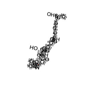 CN1c2cc(CNc3nccn3C(c3ccccc3)(c3ccccc3)c3ccccc3)ccc2C(=O)CC1C(=O)NCC(NS(=O)(=O)c1ccc(-c2ccc(S(=O)(=O)NCCCOCCOCCOCCCN(C=O)OCc3ccccc3)cc2)cc1)C(=O)O